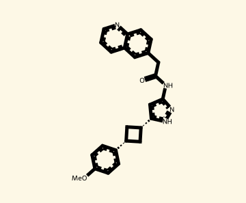 COc1ccc([C@H]2C[C@@H](c3cc(NC(=O)Cc4ccc5ncccc5c4)n[nH]3)C2)cc1